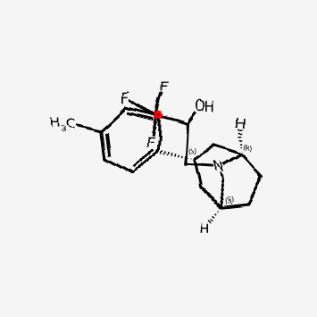 Cc1ccc([C@@H]2C[C@H]3CC[C@@H](C2)N3CC(O)C(F)(F)F)cc1